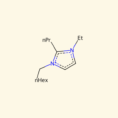 CCCCCCC[n+]1ccn(CC)c1CCC